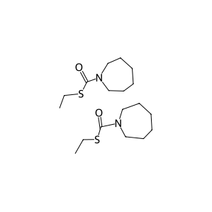 CCSC(=O)N1CCCCCC1.CCSC(=O)N1CCCCCC1